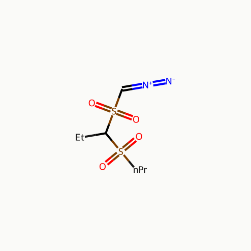 CCCS(=O)(=O)C(CC)S(=O)(=O)C=[N+]=[N-]